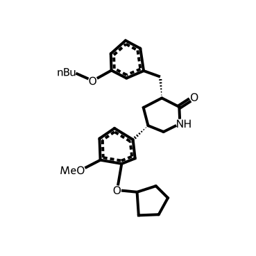 CCCCOc1cccc(C[C@H]2C[C@@H](c3ccc(OC)c(OC4CCCC4)c3)CNC2=O)c1